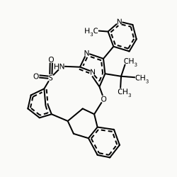 Cc1ncccc1-c1nc2nc(c1C(C)(C)C)OC1CC(Cc3ccccc31)c1cccc(c1)S(=O)(=O)N2